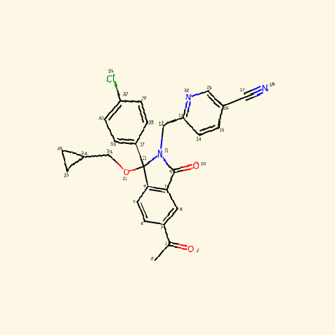 CC(=O)c1ccc2c(c1)C(=O)N(Cc1ccc(C#N)cn1)C2(OCC1CC1)c1ccc(Cl)cc1